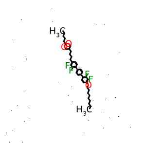 CCCCCCCCCOc1ccc(-c2ccc(-c3ccc(CCCCC4COC(CCCCC)OC4)c(F)c3F)cc2)c(F)c1F